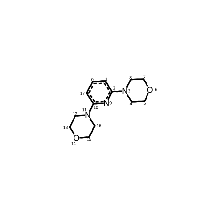 c1cc(N2CCOCC2)nc(N2CCOCC2)c1